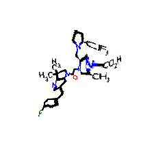 C[C@@H]1CN(CC(=O)N2CC(C)(C)c3ncc(Cc4ccc(F)cc4)cc32)[C@@H](CN2CCC[C@@H]2C(F)(F)F)CN1C(=O)O